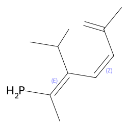 C=C(C)/C=C\C(=C(/C)P)C(C)C